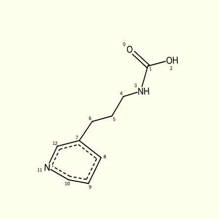 O=C(O)NCCCc1cccnc1